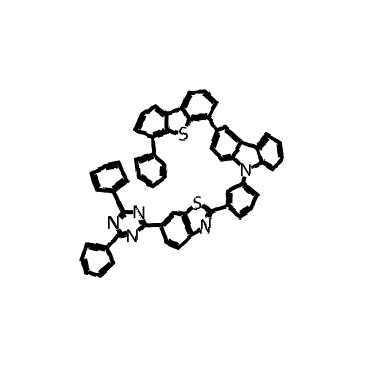 c1ccc(-c2nc(-c3ccccc3)nc(-c3ccc4nc(-c5cccc(-n6c7ccccc7c7cc(-c8cccc9c8sc8c(-c%10ccccc%10)cccc89)ccc76)c5)sc4c3)n2)cc1